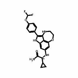 NC(=O)[C@@H](Nc1cc2c3c(c(-c4ccc(OC(F)F)cc4)[nH]c3c1)NCCO2)C1CC1